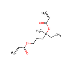 C=CC(=O)OCCCC(C)(CC)OC(=O)C=C